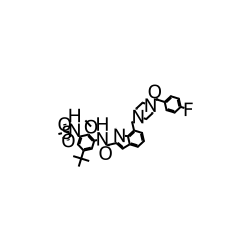 COc1c(NC(=O)c2cc3cccc(CN4CCN(C(=O)c5ccc(F)cc5)CC4)c3n2C)cc(C(C)(C)C)cc1NS(C)(=O)=O